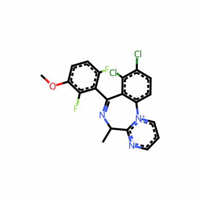 COc1ccc(F)c(C2=NC(C)c3nccc[n+]3-c3ccc(Cl)c(Cl)c32)c1F